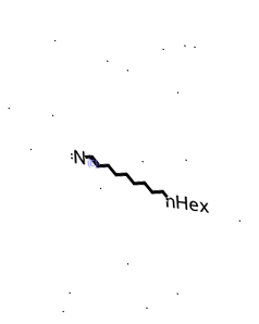 CCCCCCCCCCCCC/C=C/[N]